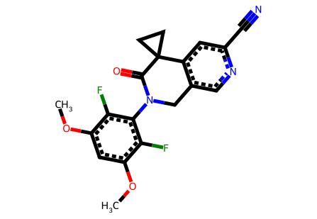 COc1cc(OC)c(F)c(N2Cc3cnc(C#N)cc3C3(CC3)C2=O)c1F